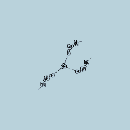 C=C(C(=O)Oc1ccc(-c2cnc(CCCCC)nc2)cc1)c1ccc(OCCCCCCCCCCOC(CC)(OCCCCCCCCCCOc2ccc(C(=C)C(=O)Oc3ccc(-c4cnc(CCCCC)nc4)cc3)cc2)OCCCCCCCCCCOc2ccc(C(=C)C(=O)Oc3ccc(-c4cnc(CCCCC)nc4)cc3)cc2)cc1